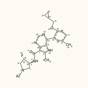 CC(=O)N1C[C@H](NC(=O)c2c(C)[nH]c3c(-c4cc(C)ccc4OCC4CC4)ncnc23)[C@@H](F)C1